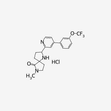 CN1CCC2(CCC(c3cc(-c4cccc(OC(F)(F)F)c4)ccn3)N2)C1=O.Cl